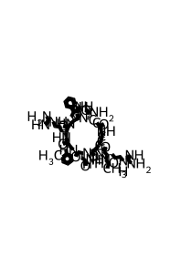 CC(=O)N[C@@H](CCCNC(=N)N)C(=O)N[C@H]1CCCNC(=O)CC[C@@H](C(N)=O)NC(=O)[C@H](Cc2c[nH]c3ccccc23)NC(=O)[C@H](CCCNC(=N)N)NC(=O)[C@@H](Cc2ccccc2C)NC(=O)[C@H](CC(N)=O)NC1=O